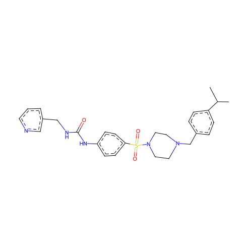 CC(C)c1ccc(CN2CCN(S(=O)(=O)c3ccc(NC(=O)NCc4cccnc4)cc3)CC2)cc1